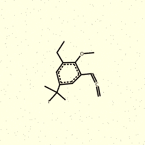 C=C=Cc1cc(C(C)(C)I)cc(CC)c1OC